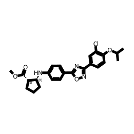 COC(=O)[C@H]1CCC[C@H]1Nc1ccc(-c2nc(-c3ccc(OC(C)C)c(Cl)c3)no2)cc1